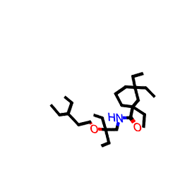 CCC(CC)CCOC(CC)(CC)CNC(=O)C1(CC)CCCC(CC)(CC)C1